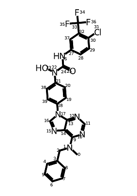 CN(Cc1ccccc1)c1ncnc2c1ncn2-c1ccc(N(O)C(=O)Nc2ccc(Cl)c(C(F)(F)F)c2)cc1